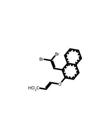 O=C(O)C=COc1ccc2ccccc2c1C=C(Br)Br